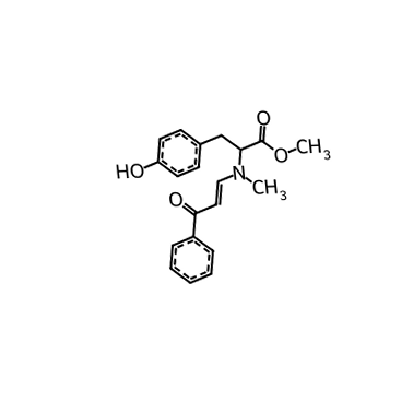 COC(=O)C(Cc1ccc(O)cc1)N(C)C=CC(=O)c1ccccc1